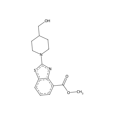 COC(=O)c1cccc2sc(N3CCC(CO)CC3)nc12